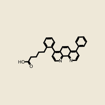 O=C(O)CCCCc1ccccc1-c1ccnc2c1ccc1c(-c3ccccc3)ccnc12